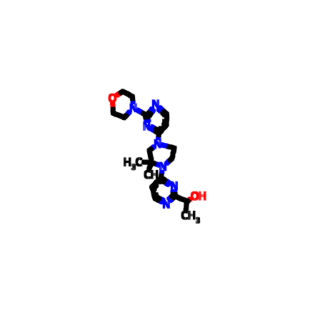 CC(O)c1nccc(N2CCN(c3ccnc(N4CCOCC4)n3)CC2(C)C)n1